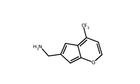 NCc1cc2occc(C(F)(F)F)c-2c1